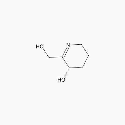 OCC1=NCCC[C@@H]1O